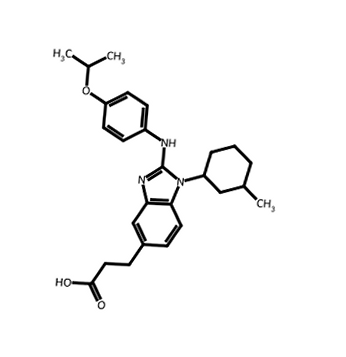 CC1CCCC(n2c(Nc3ccc(OC(C)C)cc3)nc3cc(CCC(=O)O)ccc32)C1